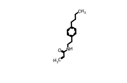 C=CC(=O)NCCc1ccc(CCCC)cc1